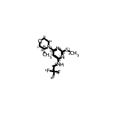 CSc1nc(NCC(F)(F)F)cc(N2CCOC[C@H]2C)n1